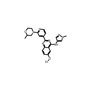 CCOc1ccc2nc(-c3ccnc(N4CCOC(C)C4)c3)nc(Nc3cnn(C)c3)c2c1